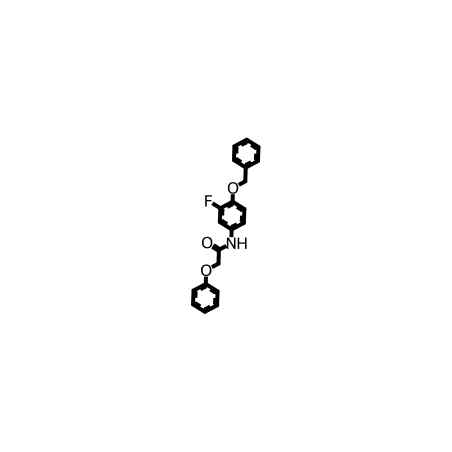 O=C(COc1ccccc1)Nc1ccc(OCc2ccccc2)c(F)c1